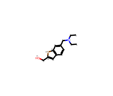 CCN(CC)Cc1ccc2cc(CO)sc2c1